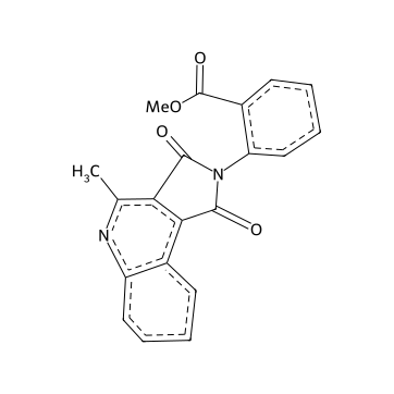 COC(=O)c1ccccc1N1C(=O)c2c(C)nc3ccccc3c2C1=O